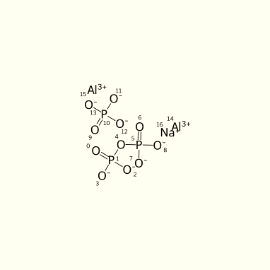 O=P([O-])([O-])OP(=O)([O-])[O-].O=P([O-])([O-])[O-].[Al+3].[Al+3].[Na+]